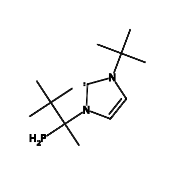 CC(C)(C)N1[C]N(C(C)(P)C(C)(C)C)C=C1